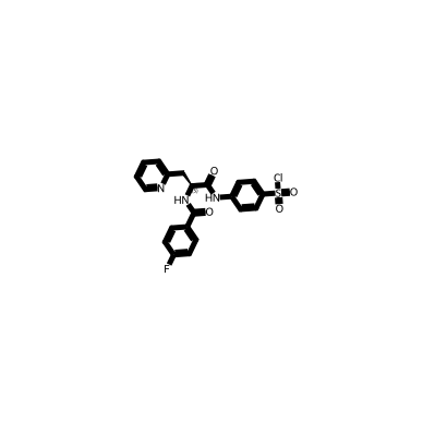 O=C(N[C@@H](Cc1ccccn1)C(=O)Nc1ccc(S(=O)(=O)Cl)cc1)c1ccc(F)cc1